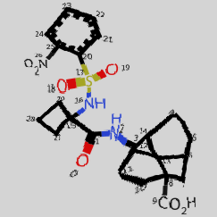 O=C(NC1C2CC3CC4(C(=O)O)CC1CC34C2)C1(NS(=O)(=O)c2ccccc2[N+](=O)[O-])CCC1